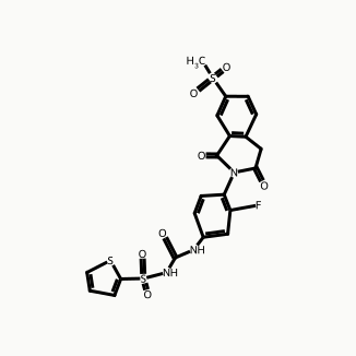 CS(=O)(=O)c1ccc2c(c1)C(=O)N(c1ccc(NC(=O)NS(=O)(=O)c3cccs3)cc1F)C(=O)C2